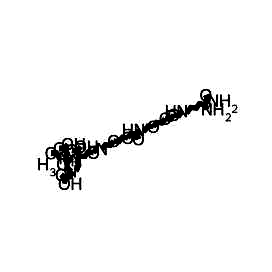 CC1(N(CC=O)CC(=O)O)CN(CC(=O)O)CCN(C(CCOC=NCCOCCOCC(=O)NCCOCCOCOCNCCCCC(N)C(N)=O)C(=O)O)C1